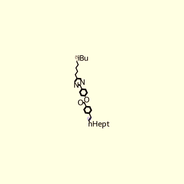 CCCCCCC/C=C/c1ccc(C(=O)Oc2ccc(-c3ncc(CCCCC[C@@H](C)CC)cn3)cc2)cc1